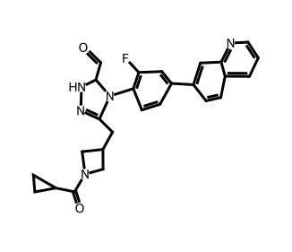 O=CC1NN=C(CC2CN(C(=O)C3CC3)C2)N1c1ccc(-c2ccc3cccnc3c2)cc1F